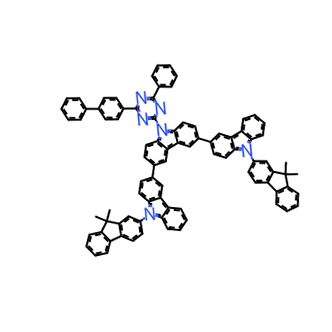 CC1(C)c2ccccc2-c2ccc(-n3c4ccccc4c4cc(-c5ccc6c(c5)c5cc(-c7ccc8c(c7)c7ccccc7n8-c7ccc8c(c7)C(C)(C)c7ccccc7-8)ccc5n6-c5nc(-c6ccccc6)nc(-c6ccc(-c7ccccc7)cc6)n5)ccc43)cc21